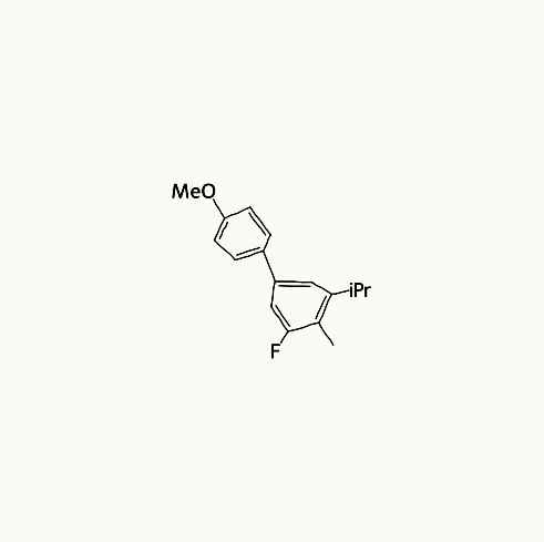 COc1ccc(-c2cc(F)c(C)c(C(C)C)c2)cc1